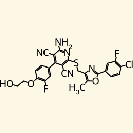 Cc1oc(-c2ccc(Cl)c(F)c2)nc1CSc1nc(N)c(C#N)c(-c2ccc(OCCO)c(F)c2)c1C#N